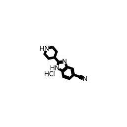 Cl.N#Cc1ccc2[nH]c(C3CCNCC3)nc2c1